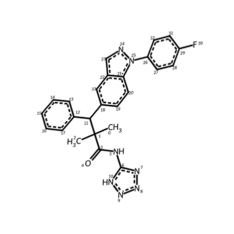 CC(C)(C(=O)Nc1nnn[nH]1)C(c1ccccc1)c1ccc2c(cnn2-c2ccc(F)cc2)c1